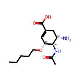 CCCCCO[C@@H]1C=C(C(=O)O)C[C@H](N)[C@H]1NC(C)=O